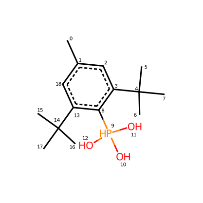 Cc1cc(C(C)(C)C)c([PH](O)(O)O)c(C(C)(C)C)c1